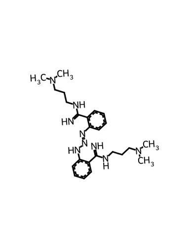 CN(C)CCCNC(=N)c1ccccc1/N=N/Nc1ccccc1C(=N)NCCCN(C)C